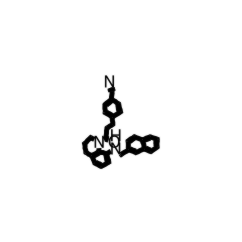 N#Cc1ccc(CCC(=O)N2CCCc3cccc(NCc4ccc5ccccc5c4)c32)cc1